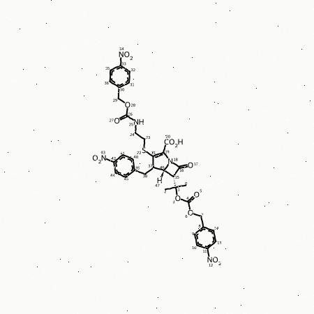 CC(C)(OC(=O)OCc1ccc([N+](=O)[O-])cc1)[C@H]1C(=O)N2C(C(=O)O)=C(SCCNC(=O)OCc3ccc([N+](=O)[O-])cc3)C(Cc3ccc([N+](=O)[O-])cc3)[C@@H]12